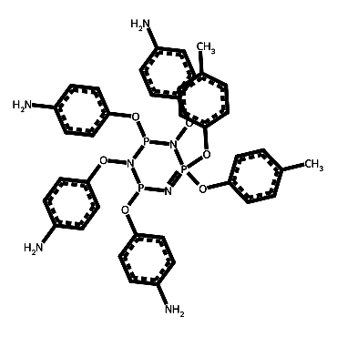 Cc1ccc(OP2(Oc3ccc(C)cc3)=NP(Oc3ccc(N)cc3)N(Oc3ccc(N)cc3)P(Oc3ccc(N)cc3)N2Oc2ccc(N)cc2)cc1